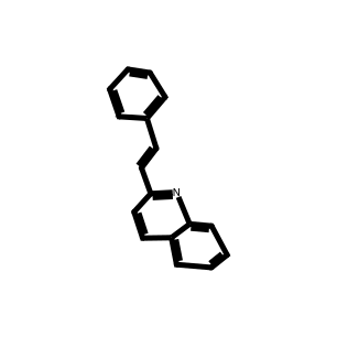 [c]1ccccc1C=Cc1ccc2ccccc2n1